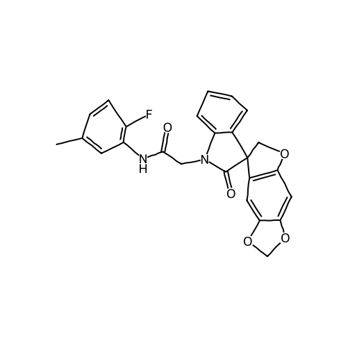 Cc1ccc(F)c(NC(=O)CN2C(=O)C3(COc4cc5c(cc43)OCO5)c3ccccc32)c1